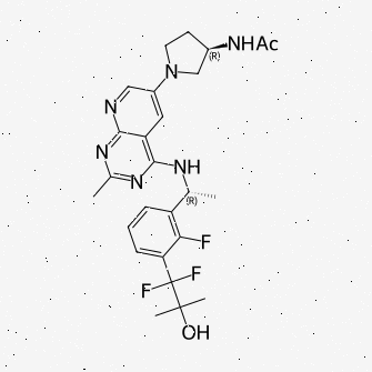 CC(=O)N[C@@H]1CCN(c2cnc3nc(C)nc(N[C@H](C)c4cccc(C(F)(F)C(C)(C)O)c4F)c3c2)C1